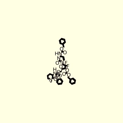 CN1CCCC(NP(=O)(OC[C@H]2O[C@@H](n3ccc(NC(=O)OCc4ccccc4)nc3=O)C(F)(F)[C@@H]2OC(=O)OCc2ccccc2)Oc2ccccc2)C1=O